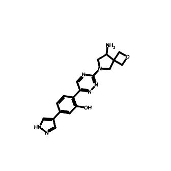 NC1CN(c2ncc(-c3ccc(-c4cn[nH]c4)cc3O)nn2)CC12COC2